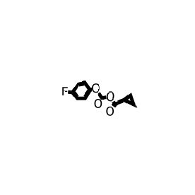 O=C(OC(=O)C1CC1)Oc1ccc(F)cc1